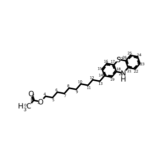 CC(=O)OCCCCCCCCCCc1ccc2c(c1)Nc1ccccc1S2